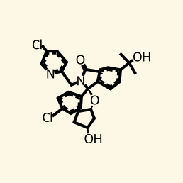 CC(C)(O)c1ccc2c(c1)C(=O)N(Cc1ccc(Cl)cn1)[C@@]2(O[C@H]1CC[C@H](O)C1)c1ccc(Cl)cc1